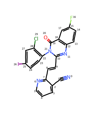 N#Cc1cccnc1C=Cc1nc2ccc(F)cc2c(=O)n1-c1ccc(I)cc1Cl